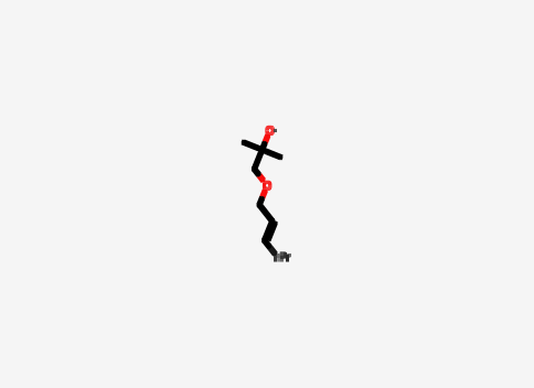 CCCC=CCOCC(C)(C)[O]